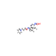 C=C(/C=C\C=N\O)/C(C)=N/OCCCN1CCCCC1